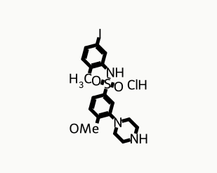 COc1ccc(S(=O)(=O)Nc2cc(I)ccc2C)cc1N1CCNCC1.Cl